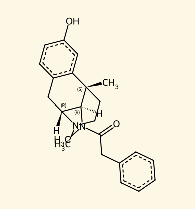 CN1CC[C@@]2(C)c3cc(O)ccc3C[C@@H]1[C@@H]2N(C)C(=O)Cc1ccccc1